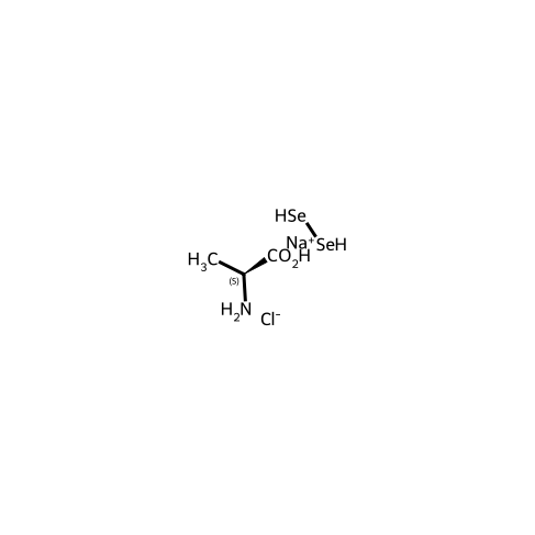 C[C@H](N)C(=O)O.[Cl-].[Na+].[SeH][SeH]